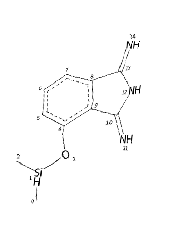 C[SiH](C)Oc1cccc2c1C(=N)NC2=N